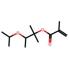 C=C(C)C(=O)OC(C)(C)C(C)OC(C)C